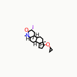 CN1C(=O)[C@H](I)C[C@]2(C)[C@H]3CC[C@]4(C)[C@@H](OC5CC5)CC[C@H]4[C@@H]3CC[C@@H]12